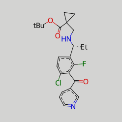 CC[C@@H](NCC1(C(=O)OC(C)(C)C)CC1)c1ccc(Cl)c(C(=O)c2cccnc2)c1F